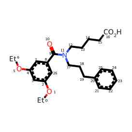 CCOc1cc(OCC)cc(C(=O)N(CCCCC(=O)O)CCCc2ccccc2)c1